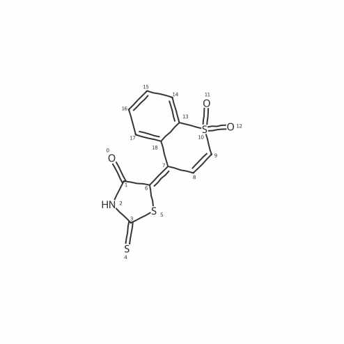 O=C1NC(=S)SC1=C1C=CS(=O)(=O)c2ccccc21